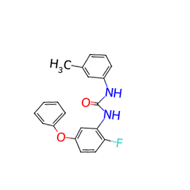 Cc1cccc(NC(=O)Nc2cc(Oc3ccccc3)ccc2F)c1